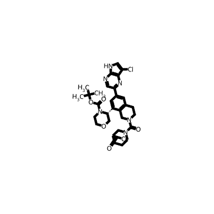 CC(C)(C)OC(=O)N1CCOC[C@H]1c1cc(-c2cnc3[nH]cc(Cl)c3n2)cc2c1CN(C(=O)N1CC3CCC1CC3=O)CC2